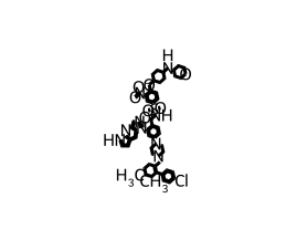 CC1(C)CCC(CN2CCN(c3ccc(C(=O)NS(=O)(=O)c4ccc(OC5CCC(NC6CCOCC6)CC5)c([N+](=O)[O-])c4)c(-n4ncc5nc6[nH]ccc6cc54)c3)CC2)=C(c2ccc(Cl)cc2)C1